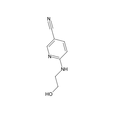 N#Cc1ccc(NCCO)nc1